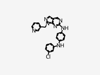 Clc1cccc(Nc2ccc(Nc3ncc4cnn(Cc5cccnc5)c4n3)cc2)c1